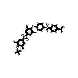 Cc1cc(S(=O)(=O)c2cc(C)c(OC(C)(C)C)c(C)c2)cc(C)c1Oc1ccc(S(=O)(=O)c2ccc(C(C)C)cc2)cc1